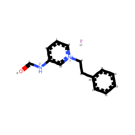 O=CNc1ccc[n+](CCc2ccccc2)c1.[I-]